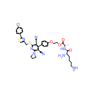 CNCCCC[C@H](N)C(=O)N[C@@H](C)C(=O)OCCOc1ccc(-c2c(C#N)c(SCc3csc(-c4ccc(Cl)cc4)n3)nc(N3CCC3)c2C#N)cc1